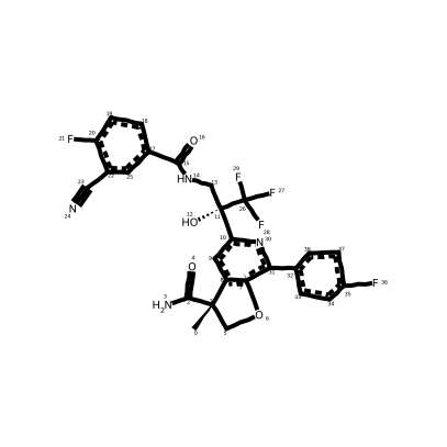 C[C@]1(C(N)=O)COc2c1cc([C@@](O)(CNC(=O)c1ccc(F)c(C#N)c1)C(F)(F)F)nc2-c1ccc(F)cc1